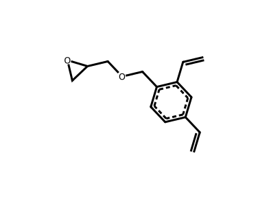 C=Cc1ccc(COCC2CO2)c(C=C)c1